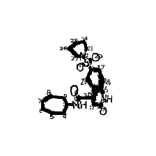 O=C(NC1CCCCCC1)c1cc(=O)[nH]c2ccc(S(=O)(=O)N3CCCCC3)cc12